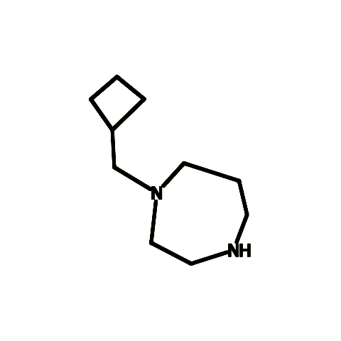 C1CC(CN2CCCNCC2)C1